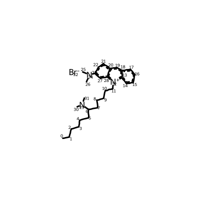 CCCCCCC(CCCCC[n+]1c2ccccc2cc2ccc(N(C)C)cc21)N(C)C.[Br-]